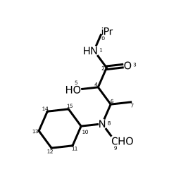 CC(C)NC(=O)C(O)C(C)N(C=O)C1CCCCC1